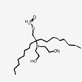 CCCCCCCCC(CCCCCCCC)(CO[PH2]=O)N(CCO)CCO